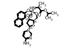 CC(C)OC(=O)[C@H](C)NP(=O)(OC[C@H]1S[C@@H](N2C=CC(N)=NC2)C[C@H]1O)Oc1ccc2ccccc2c1